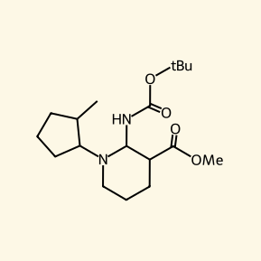 COC(=O)C1CCCN(C2CCCC2C)C1NC(=O)OC(C)(C)C